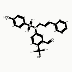 Cc1ccc(S(=O)(=O)N(CC=Cc2ccccc2)c2ccc(C(F)(F)F)c(C=O)c2)cc1